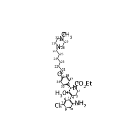 CCOC(=O)N1CCC(c2cc(Cl)ccc2N)=C(C)C1c1ccc(OCCCCCCN2CCN(C)CC2)cc1